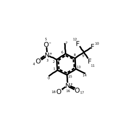 Cc1c([N+](=O)[O-])c(C)c(C(F)(F)F)c(C)c1[N+](=O)[O-]